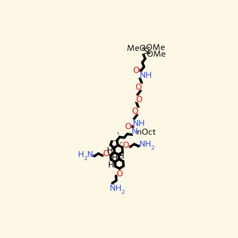 CCCCCCCCN(CCC[C@@H](C)[C@H]1CC[C@H]2[C@@H]3[C@H](OCCCN)C[C@@H]4C[C@H](OCCCN)CC[C@]4(C)[C@H]3C[C@H](OCCCN)[C@]12C)C(=O)NCCOCCOCCOCCNC(=O)CCCC[Si](OC)(OC)OC